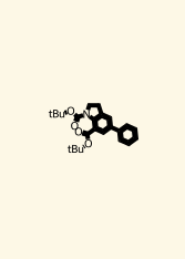 CC(C)(C)OC(=O)c1cc(-c2ccccc2)cc2c1N(C(=O)OC(C)(C)C)CC2